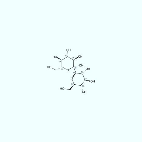 OC[C@H]1O[C@@H]([C@@]2(O)O[C@H](CO)[C@@H](O)[C@H](O)[C@H]2O)[C@H](O)[C@@H](O)[C@@H]1O